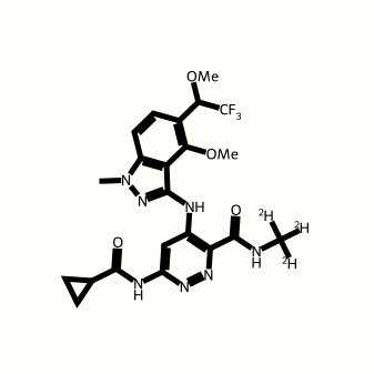 [2H]C([2H])([2H])NC(=O)c1nnc(NC(=O)C2CC2)cc1Nc1nn(C)c2ccc(C(OC)C(F)(F)F)c(OC)c12